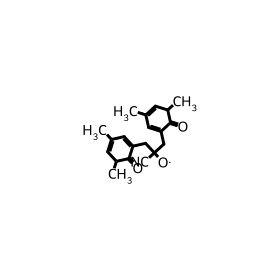 CC1=CC(C)C(=O)C(CC([O])(C#N)CC2=CC(C)=CC(C)C2=O)=C1